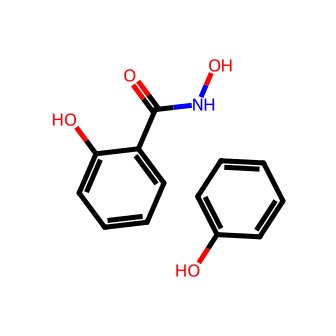 O=C(NO)c1ccccc1O.Oc1ccccc1